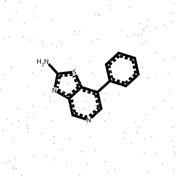 Nc1nc2cncc(-c3ccccc3)c2s1